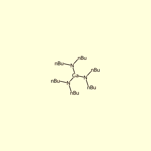 CCCC[N](CCCC)[Ga]([N](CCCC)CCCC)[N](CCCC)CCCC